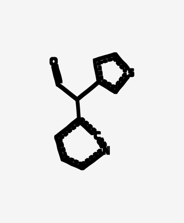 O=CC(c1cccnc1)c1ccsc1